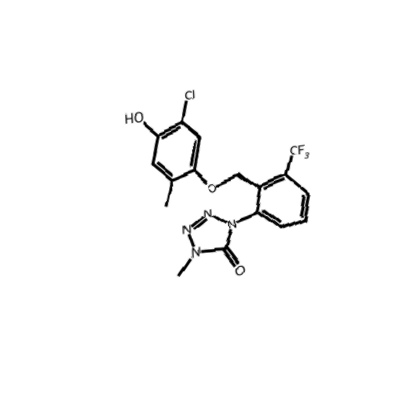 Cc1cc(O)c(Cl)cc1OCc1c(-n2nnn(C)c2=O)cccc1C(F)(F)F